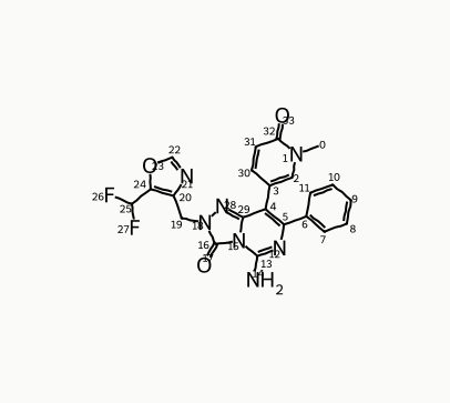 Cn1cc(-c2c(-c3ccccc3)nc(N)n3c(=O)n(Cc4ncoc4C(F)F)nc23)ccc1=O